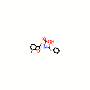 Cc1cccc2c(CC(NC(=O)Cc3ccccc3)B(O)O)coc12